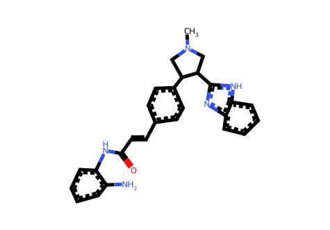 CN1CC(c2ccc(/C=C/C(=O)Nc3ccccc3N)cc2)C(c2nc3ccccc3[nH]2)C1